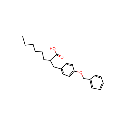 CCCCCCC(Cc1ccc(OCc2ccccc2)cc1)C(=O)O